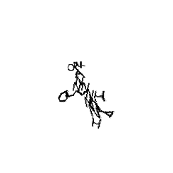 CN(C)C(=O)C1C2CN(c3nc(Cc4ccccc4)cc(Nc4cc(C5CC5)[nH]n4)n3)CC21